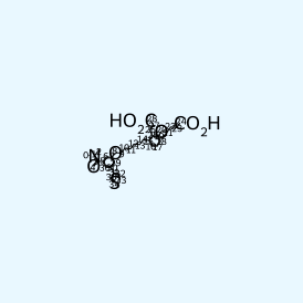 CN(C)C(=O)c1cc(OCCCCCCc2cccc(OCCCC(=O)O)c2CCC(=O)O)cc(-c2ccsc2)c1